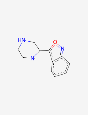 c1ccc2c(C3CNCC[N]3)onc2c1